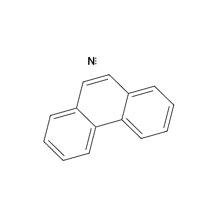 [N].c1ccc2c(c1)ccc1ccccc12